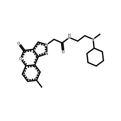 Cc1ccc2oc(=O)c3cn(CC(=O)NCCN(C)C4CCCCC4)nc3c2c1